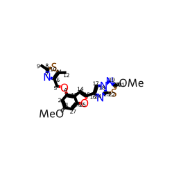 COc1cc(OCc2nc(C)sc2C)c2cc(-c3cn4nc(OC)sc4n3)oc2c1